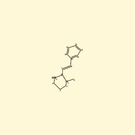 CN1CCCNC1/C=C/c1ccccc1